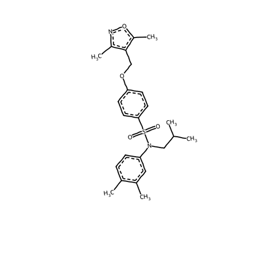 Cc1ccc(N(CC(C)C)S(=O)(=O)c2ccc(OCc3c(C)noc3C)cc2)cc1C